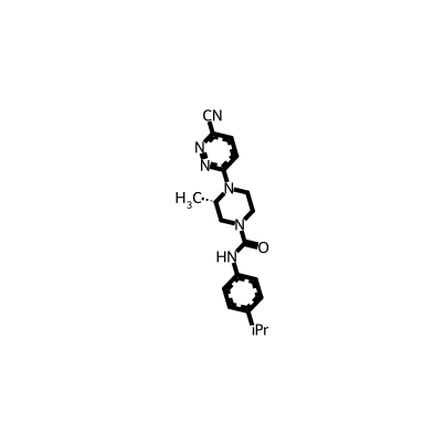 CC(C)c1ccc(NC(=O)N2CCN(c3ccc(C#N)nn3)[C@@H](C)C2)cc1